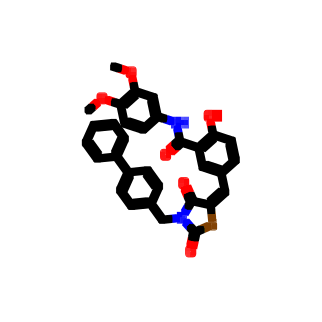 COc1ccc(NC(=O)c2cc(C=C3SC(=O)N(Cc4ccc(-c5ccccc5)cc4)C3=O)ccc2O)cc1OC